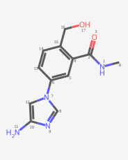 CNC(=O)c1cc(-n2cnc(N)c2)ccc1CO